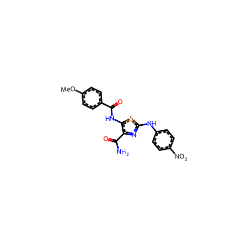 COc1ccc(C(=O)Nc2sc(Nc3ccc([N+](=O)[O-])cc3)nc2C(N)=O)cc1